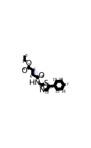 CCOC(=O)/C=C/C(=O)Nc1ncc(-c2ccccc2)s1